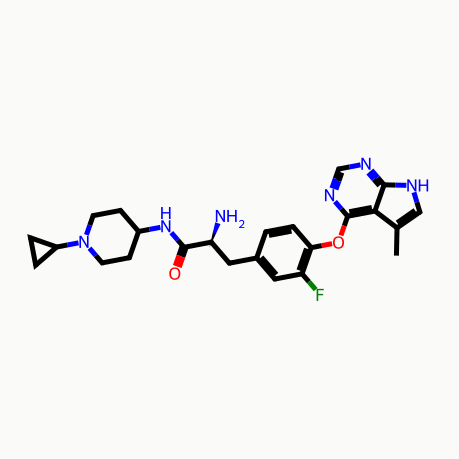 Cc1c[nH]c2ncnc(Oc3ccc(C[C@H](N)C(=O)NC4CCN(C5CC5)CC4)cc3F)c12